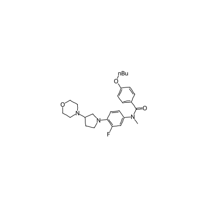 CCCCOc1ccc(C(=O)N(C)c2ccc(N3CCC(N4CCOCC4)C3)c(F)c2)cc1